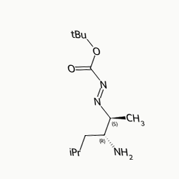 CC(C)C[C@@H](N)[C@H](C)N=NC(=O)OC(C)(C)C